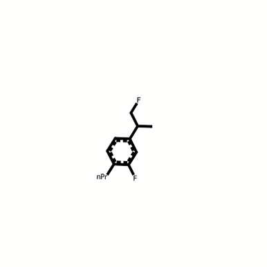 CCCc1ccc([C](C)CF)cc1F